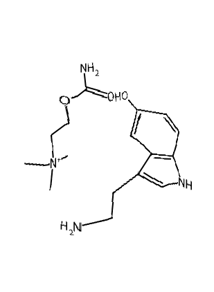 C[N+](C)(C)CCOC(N)=O.NCCc1c[nH]c2ccc(O)cc12